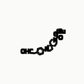 CC(C)(C)OC(=O)N1CCC2(CC1)CCN(c1ccc(CC=O)cc1)C2